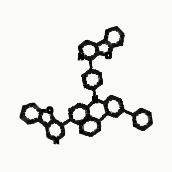 c1ccc(-c2ccc(N(c3ccc(-c4cncc5c4oc4ccccc45)cc3)c3ccc(-c4nccc5c4oc4ccccc45)cc3)c(-c3ccccc3)c2)cc1